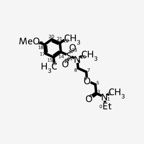 CCN(C)C(=O)COCCN(C)S(=O)(=O)c1c(C)cc(OC)cc1C